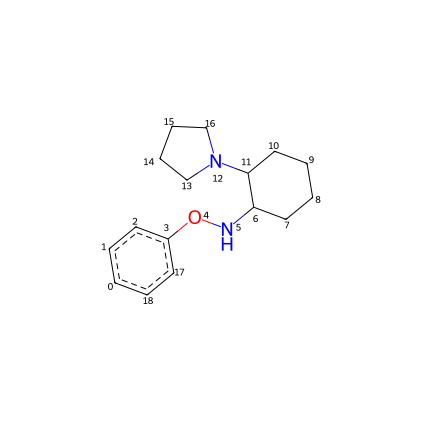 c1ccc(ONC2CCCCC2N2CCCC2)cc1